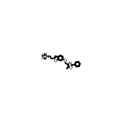 Cc1oc(-c2ccccc2)nc1COc1ccc2cc(CCn3cnnn3)oc2c1